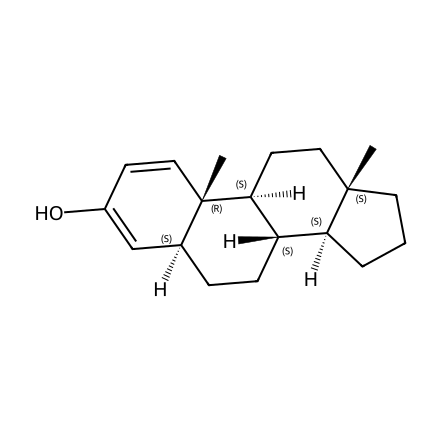 C[C@@]12CCC[C@H]1[C@@H]1CC[C@H]3C=C(O)C=C[C@]3(C)[C@H]1CC2